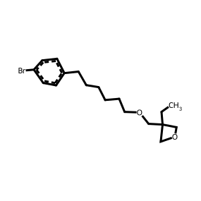 CCC1(COCCCCCCc2ccc(Br)cc2)COC1